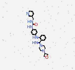 N=C(c1ccccc1Nc1ccc(NC(=O)NCc2cccnc2)cc1)N1CCN(C2COC2)CC1